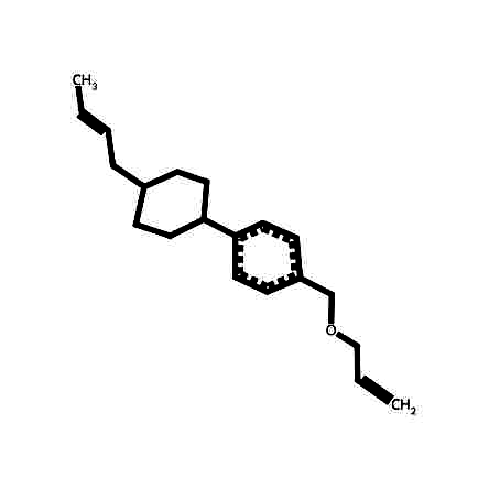 C=CCOCc1ccc(C2CCC(CC=CC)CC2)cc1